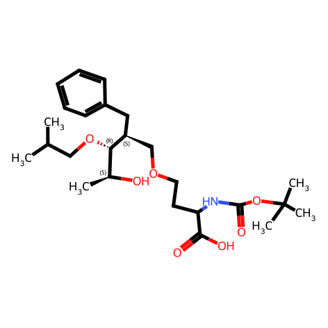 CC(C)CO[C@H]([C@H](COCCC(NC(=O)OC(C)(C)C)C(=O)O)Cc1ccccc1)[C@H](C)O